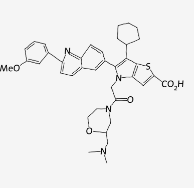 COc1cccc(-c2ccc3cc(-c4c(C5CCCCC5)c5sc(C(=O)O)cc5n4CC(=O)N4CCOC(CN(C)C)C4)ccc3n2)c1